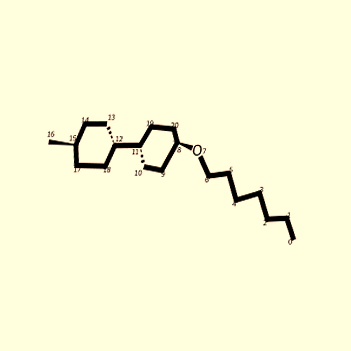 CCCCCCCO[C@H]1CC[C@H]([C@H]2CC[C@H](C)CC2)CC1